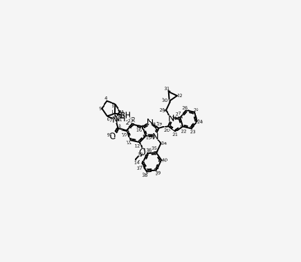 BC1(N)C2CCC1N(C(=O)c1cc(OC)c3c(c1)nc(-c1cc4ccccc4n1CC1CC1)n3Cc1ccccc1)C2